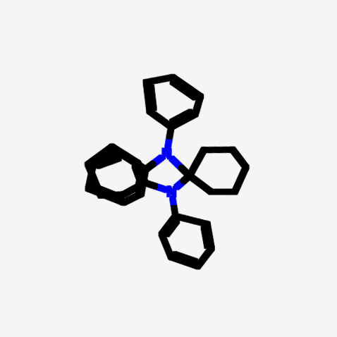 C1=CCCC(N(c2ccccc2)C2(N(c3ccccc3)c3ccccc3)CCCCC2)=C1